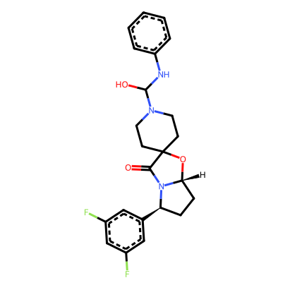 O=C1N2[C@@H](CC[C@H]2c2cc(F)cc(F)c2)OC12CCN(C(O)Nc1ccccc1)CC2